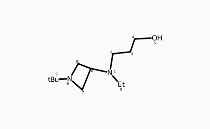 CCN(CCCO)C1CN(C(C)(C)C)C1